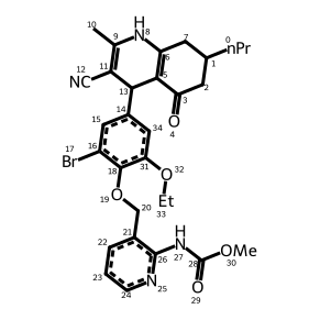 CCCC1CC(=O)C2=C(C1)NC(C)=C(C#N)C2c1cc(Br)c(OCc2cccnc2NC(=O)OC)c(OCC)c1